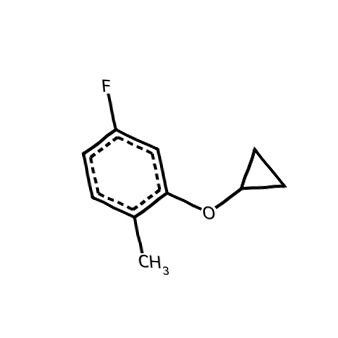 Cc1ccc(F)cc1OC1CC1